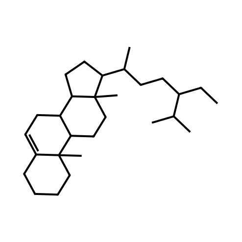 CCC(CCC(C)C1CCC2C3CC=C4CCCCC4(C)C3CCC12C)C(C)C